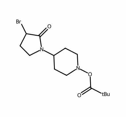 CC(C)(C)C(=O)ON1CCC(N2CCC(Br)C2=O)CC1